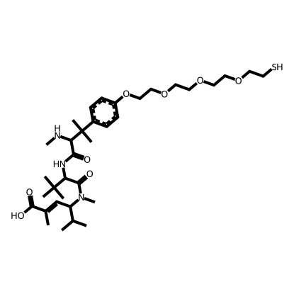 CNC(C(=O)NC(C(=O)N(C)C(/C=C(\C)C(=O)O)C(C)C)C(C)(C)C)C(C)(C)c1ccc(OCCOCCOCCOCCS)cc1